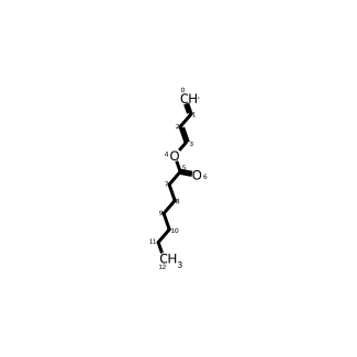 [CH]=CC=COC(=O)CCCCCC